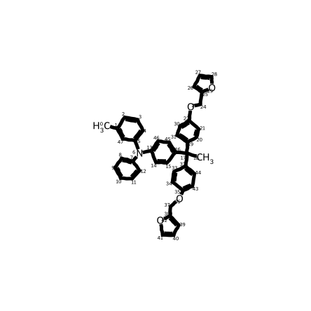 Cc1cccc(N(c2ccccc2)c2ccc(C(C)(c3ccc(OCc4ccco4)cc3)c3ccc(OCc4ccco4)cc3)cc2)c1